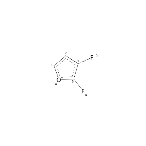 Fc1[c]coc1F